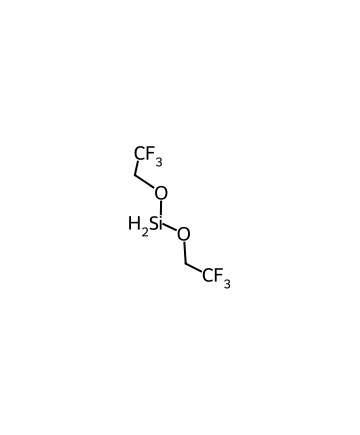 FC(F)(F)CO[SiH2]OCC(F)(F)F